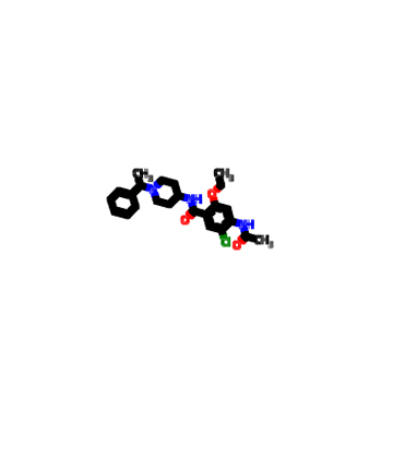 CCOc1cc(NC(C)=O)c(Cl)cc1C(=O)NC1CCN(C(C)C2=CCC=CC2)CC1